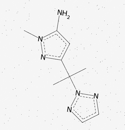 Cn1nc(C(C)(C)n2nccn2)cc1N